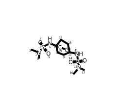 CN(C)S(=O)(=O)NC12CCC(NS(=O)(=O)N(C)C)(CC1)CC2